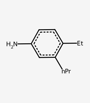 CCCc1cc(N)ccc1CC